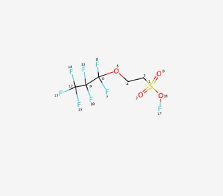 O=S(=O)(CCOC(F)(F)C(F)(F)C(F)(F)F)OF